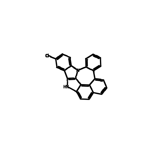 Clc1ccc2c(c1)c1[nH]c3ccc4cccc5c6ccccc6n2c1c3c45